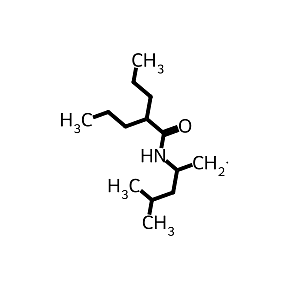 [CH2]C(CC(C)C)NC(=O)C(CCC)CCC